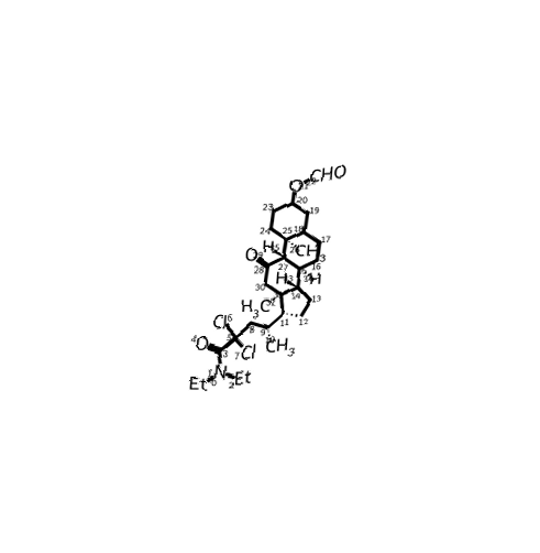 CCN(CC)C(=O)C(Cl)(Cl)C[C@@H](C)[C@H]1CC[C@H]2[C@@H]3CCC4CC(OC=O)CC[C@]4(C)[C@H]3C(=O)C[C@]12C